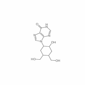 O=c1[nH]cnc2c1ncn2C1CC(CO)C(CO)CC1O